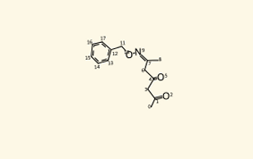 CC(=O)CC(=O)CC(C)=NOCc1ccccc1